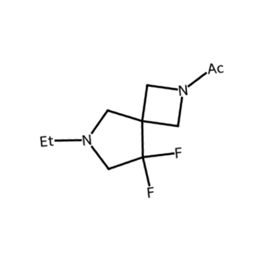 CCN1CC(F)(F)C2(C1)CN(C(C)=O)C2